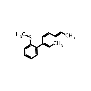 C/C=C/C=C\C(=C/C)c1ccccc1SC